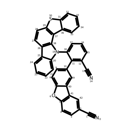 N#Cc1ccc2oc3ccc(-c4c(C#N)cccc4-n4c5ccccc5c5ccc6sc7ccccc7c6c54)cc3c2c1